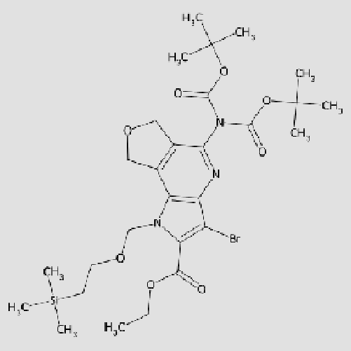 CCOC(=O)c1c(Br)c2nc(N(C(=O)OC(C)(C)C)C(=O)OC(C)(C)C)c3c(c2n1COCC[Si](C)(C)C)COC3